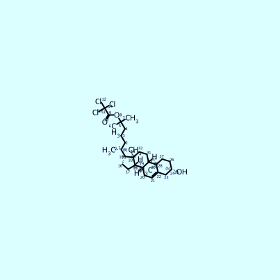 C[C@H](CCCC(C)(C)OC(=O)C(Cl)(Cl)Cl)[C@H]1CC[C@H]2[C@@H]3CC=C4C[C@@H](O)CC[C@]4(C)[C@H]3CC[C@]12C